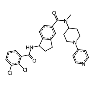 CN(C(=O)c1ccc2c(c1)CCC2NC(=O)c1cccc(Cl)c1Cl)C1CCN(c2ccncc2)CC1